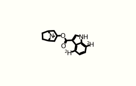 [2H]c1ccc([2H])c2c(C(=O)OC3CC4CCC(C3)N4C)c[nH]c12